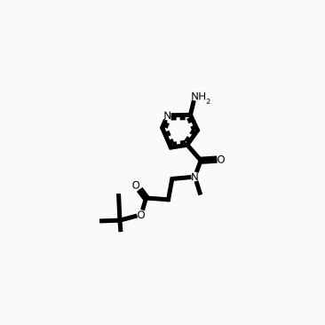 CN(CCC(=O)OC(C)(C)C)C(=O)c1ccnc(N)c1